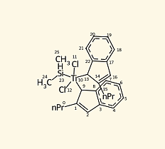 CCCC1=Cc2ccccc2[CH]1[Ti]([Cl])([Cl])([CH]1C(CCC)=Cc2ccccc21)[SiH](C)C